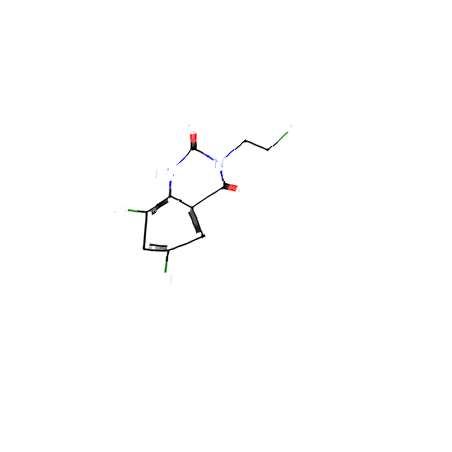 O=c1[nH]c2c(Cl)cc(Cl)cc2c(=O)n1CCCl